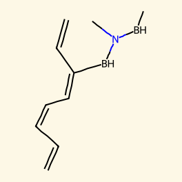 C=C/C=C\C=C(\BN(C)BC)C=C